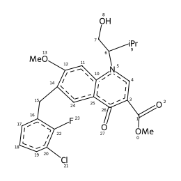 COC(=O)c1cn(C(CO)C(C)C)c2cc(OC)c(Cc3cccc(Cl)c3F)cc2c1=O